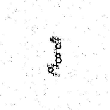 CC(C)(C)c1cccc(NC(=O)C2CCc3ccc(Oc4ccnc(-c5nnn[nH]5)c4)cc3C2)c1